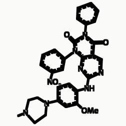 COc1cc(N2CCN(C)CC2)ccc1Nc1ncc2c(=O)n(-c3ccccc3)c(=O)n(-c3cccc([N+](=O)[O-])c3)c2n1